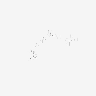 CC(C)(c1ccc(OCc2ccnc(N3CC(N4CCN(C5CN(c6ccc7c(c6)C(=O)N(C6CCC(=O)NC6=O)C7=O)C5)CC4)C3)n2)cc1)c1cc(Cl)c(OCCCl)c(C#N)c1